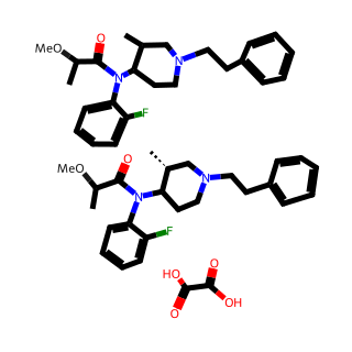 COC(C)C(=O)N(c1ccccc1F)C1CCN(CCc2ccccc2)CC1C.COC(C)C(=O)N(c1ccccc1F)C1CCN(CCc2ccccc2)C[C@H]1C.O=C(O)C(=O)O